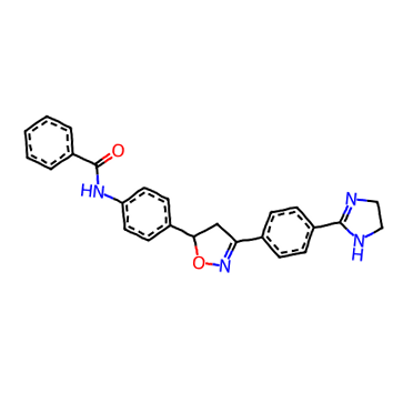 O=C(Nc1ccc(C2CC(c3ccc(C4=NCCN4)cc3)=NO2)cc1)c1ccccc1